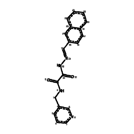 O=C(NCc1cccnc1)C(=O)N/N=C/c1ccc2ccccc2c1